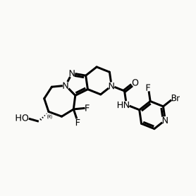 O=C(Nc1ccnc(Br)c1F)N1CCc2nn3c(c2C1)C(F)(F)C[C@H](CO)CC3